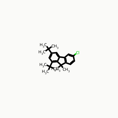 CC(C)(C)c1cc2c(c(C(C)(C)C)c1)C(C)(C)c1ccc(Cl)cc1-2